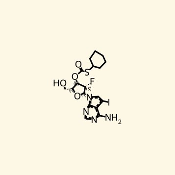 Nc1ncnc2c1c(I)cn2[C@@H]1O[C@H](CO)[C@@H](OC(=O)SC2CCCCC2)[C@@H]1F